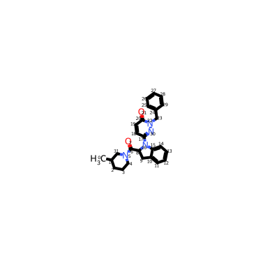 CC1CCCN(C(=O)C2Cc3ccccc3N2c2ccc(=O)n(Cc3ccccc3)n2)C1